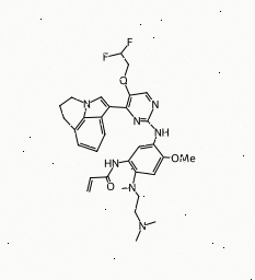 C=CC(=O)Nc1cc(Nc2ncc(OCC(F)F)c(-c3cn4c5c(cccc35)CCC4)n2)c(OC)cc1N(C)CCN(C)C